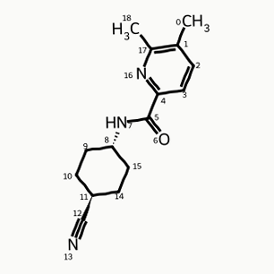 Cc1ccc(C(=O)N[C@H]2CC[C@H](C#N)CC2)nc1C